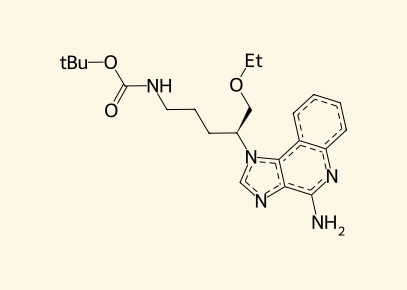 CCOC[C@H](CCCNC(=O)OC(C)(C)C)n1cnc2c(N)nc3ccccc3c21